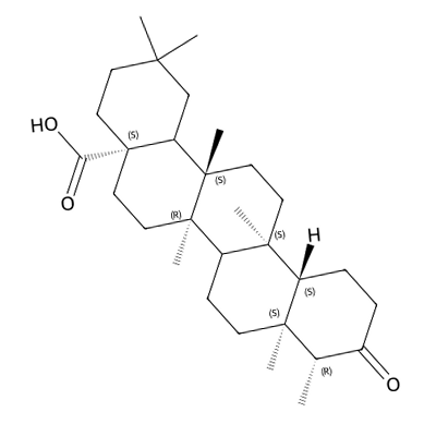 C[C@H]1C(=O)CC[C@@H]2[C@]1(C)CCC1[C@@]2(C)CC[C@@]2(C)C3CC(C)(C)CC[C@]3(C(=O)O)CC[C@]12C